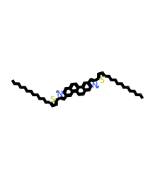 CCCCCCCCCCCCc1ccc(-c2cc3cc4c(ccc5c6cc7cc(-c8ccc(CCCCCCCCCCCC)s8)n(C)c7cc6ccc45)cc3n2C)s1